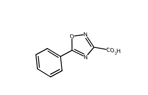 O=C(O)c1noc(-c2ccccc2)n1